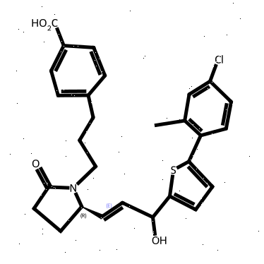 Cc1cc(Cl)ccc1-c1ccc(C(O)/C=C/[C@H]2CCC(=O)N2CCCc2ccc(C(=O)O)cc2)s1